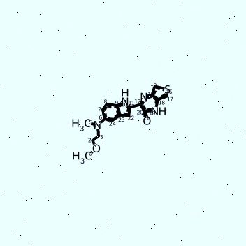 COCCN(C)c1ccc2[nH]c(-c3nc4cscc4[nH]c3=O)cc2c1